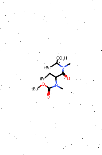 CC(C)CC(C(=O)N(C)C(C(=O)O)C(C)(C)C)N(C)C(=O)OC(C)(C)C